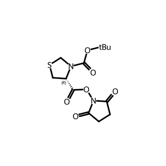 CC(C)(C)OC(=O)N1CSC[C@H]1C(=O)ON1C(=O)CCC1=O